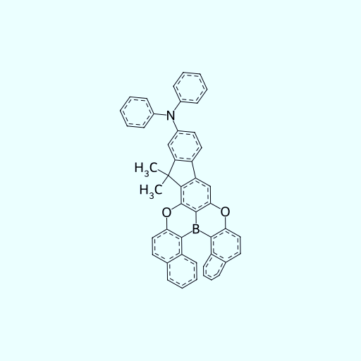 CC1(C)c2cc(N(c3ccccc3)c3ccccc3)ccc2-c2cc3c4c(c21)Oc1ccc2ccccc2c1B4c1c(ccc2ccccc12)O3